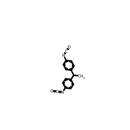 CC(c1ccc(N=C=O)cc1)c1ccc(N=C=O)cc1